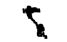 Cc1ccc(S(=O)(=O)OCCCCCCCCN2CCC(NC(=O)OC(C)(C)C)CC2)cc1